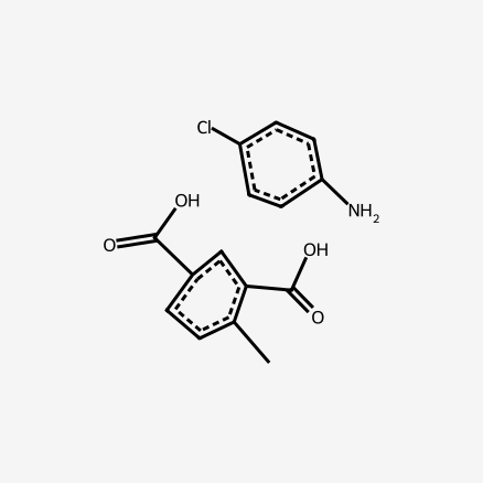 Cc1ccc(C(=O)O)cc1C(=O)O.Nc1ccc(Cl)cc1